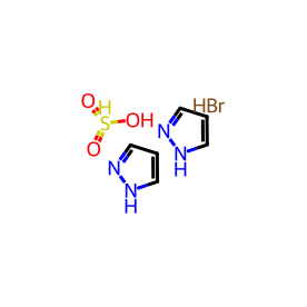 Br.O=[SH](=O)O.c1cn[nH]c1.c1cn[nH]c1